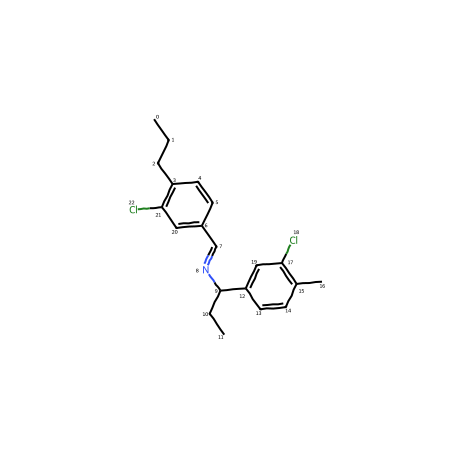 CCCc1ccc(C=NC(CC)c2ccc(C)c(Cl)c2)cc1Cl